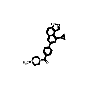 CN1CCN(C(=O)c2ccc(-c3cc(C4CC4)c4c(ccc5[nH]ncc54)c3)cc2)CC1